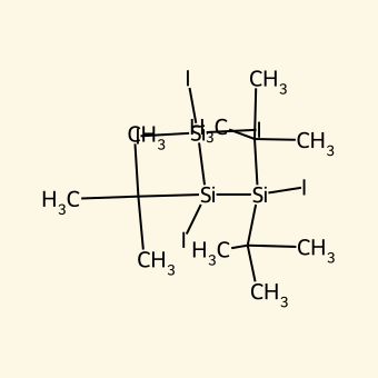 CC(C)(C)[Si](I)(C(C)(C)C)[Si](I)(C(C)(C)C)[Si](I)(I)I